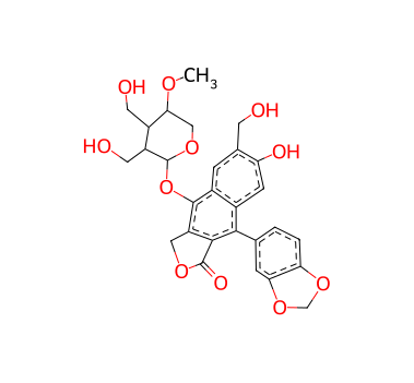 COC1COC(Oc2c3c(c(-c4ccc5c(c4)OCO5)c4cc(O)c(CO)cc24)C(=O)OC3)C(CO)C1CO